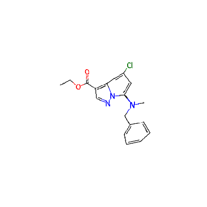 CCOC(=O)c1cnn2c(N(C)Cc3ccccc3)cc(Cl)cc12